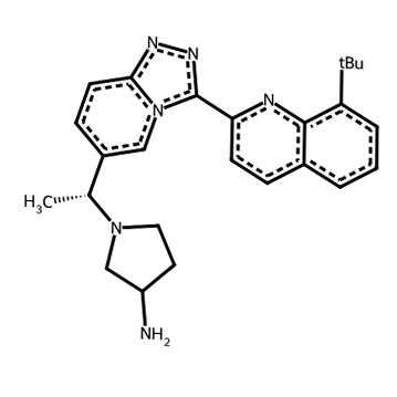 C[C@H](c1ccc2nnc(-c3ccc4cccc(C(C)(C)C)c4n3)n2c1)N1CCC(N)C1